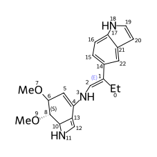 CC/C(=C\NC1=CC(OC)[C@@H](OC)C2NC=C12)c1ccc2[nH]ccc2c1